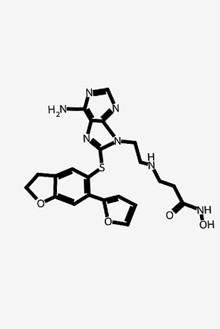 Nc1ncnc2c1nc(Sc1cc3c(cc1-c1ccco1)OCC3)n2CCNCCC(=O)NO